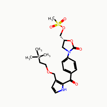 C[Si](C)(C)CCOCc1cc[nH]c1C(=O)c1ccc(N2C[C@H](COS(C)(=O)=O)OC2=O)cc1